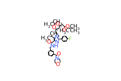 CC(C)c1c(C(=O)NCc2cccc(C(=O)N3CCOCC3)c2)nc(-c2ccc(F)cc2)n1CC[C@@H]1C[C@H](CC(=O)OC(C)(C)C)OC(C)(C)O1